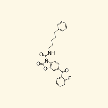 O=C(c1ccc2c(c1)oc(=O)n2C(=O)NCCCCCc1ccccc1)c1ccccc1F